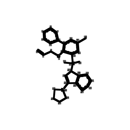 C=CCOc1c(-c2ccccc2)cc(C)cc1[Si](C)(C)C1C=C(N2CCCC2)c2ccccc21